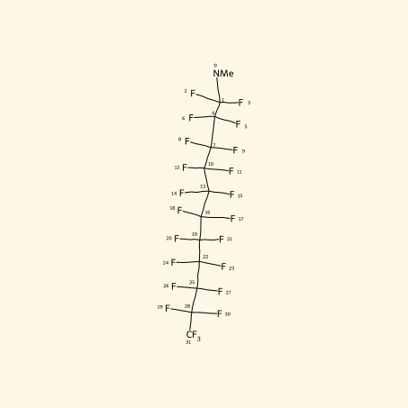 CNC(F)(F)C(F)(F)C(F)(F)C(F)(F)C(F)(F)C(F)(F)C(F)(F)C(F)(F)C(F)(F)C(F)(F)C(F)(F)F